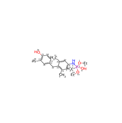 CCOP(C)(O)(Nc1cc(C)c(Cc2ccc(O)c(C(C)C)c2)c(C)c1)OCC